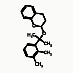 Cc1cccc(C(C)(C)OC2CCc3ccccc3O2)c1C